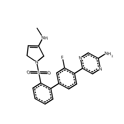 CNC1=CCN(S(=O)(=O)c2ccccc2-c2ccc(-c3cnc(N)cn3)c(F)c2)C1